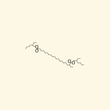 CCCCC(CC)COC(=O)CCCCCCCCCCCCCCCCC(CC)C(=O)OCC(CC)CCCC